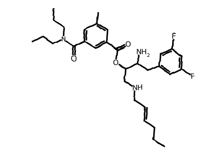 CCCC=CCNCC(OC(=O)c1cc(C)cc(C(=O)N(CCC)CCC)c1)C(N)Cc1cc(F)cc(F)c1